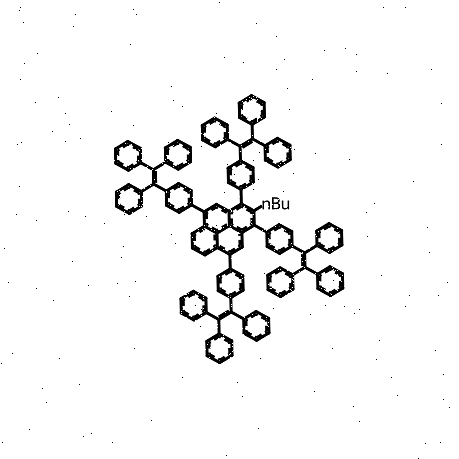 CCCCc1c(-c2ccc(C(=C(c3ccccc3)c3ccccc3)c3ccccc3)cc2)c2cc(-c3ccc(C(=C(c4ccccc4)c4ccccc4)c4ccccc4)cc3)c3cccc4c(-c5ccc(C(=C(c6ccccc6)c6ccccc6)c6ccccc6)cc5)cc(c1-c1ccc(C(=C(c5ccccc5)c5ccccc5)c5ccccc5)cc1)c2c34